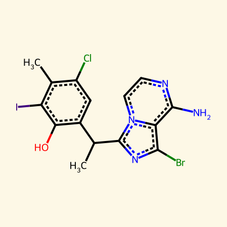 Cc1c(Cl)cc(C(C)c2nc(Br)c3c(N)nccn23)c(O)c1I